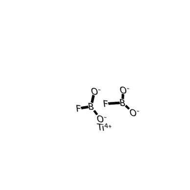 [O-]B([O-])F.[O-]B([O-])F.[Ti+4]